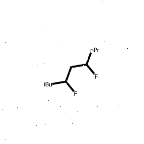 CCCC(F)CC(F)C(C)CC